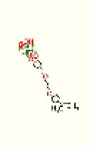 CCC(C)c1ccc(OCCCCOCCc2ccc(OS(=O)(=O)C(F)(F)C(F)(F)C(F)(F)S(=O)(=O)O)cc2)cc1